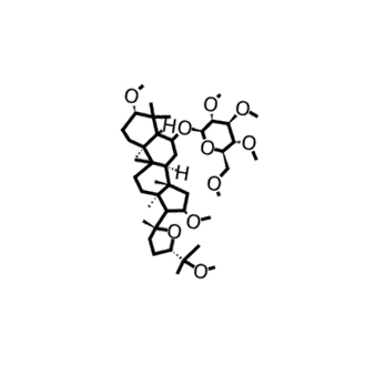 COC[C@H]1O[C@@H](OC2C[C@@H]3C4(CC[C@]5(C)C([C@@]6(C)CC[C@@H](C(C)(C)OC)O6)[C@@H](OC)C[C@@]35C)C[C@@]43CC[C@H](OC)C(C)(C)[C@H]23)[C@H](OC)[C@@H](OC)[C@@H]1OC